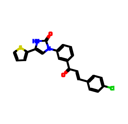 O=C(C=Cc1ccc(Cl)cc1)c1cccc(-n2cc(-c3cccs3)[nH]c2=O)c1